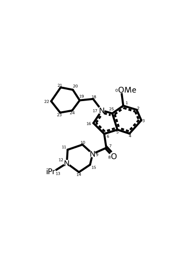 COc1cccc2c(C(=O)N3CCN(C(C)C)CC3)cn(CC3CCCCC3)c12